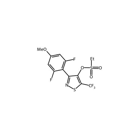 CCS(=O)(=O)Oc1c(-c2c(F)cc(OC)cc2F)nsc1C(F)(F)F